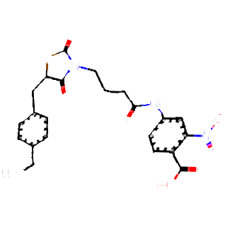 CCc1ccc(CC2SC(=O)N(CCCC(=O)Nc3ccc(C(=O)O)c([N+](=O)[O-])c3)C2=O)cc1